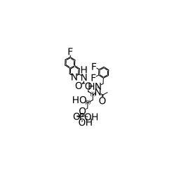 CC(=O)N(NCc1cccc(F)c1F)[C@H](COC(=O)Nc1cc2cc(F)ccc2cn1)C[C@@H](O)COP(=O)(O)O